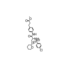 COC(=O)CCc1ccc(NC(=O)C(COC2CCCCO2)NS(=O)(=O)c2ccc(Cl)cc2)cc1